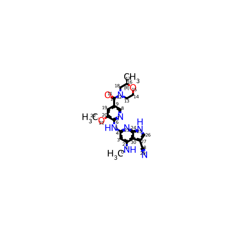 CNc1cc(Nc2ncc(C(=O)N3CCO[C@H](C)C3)cc2OC)nc2[nH]cc(C#N)c12